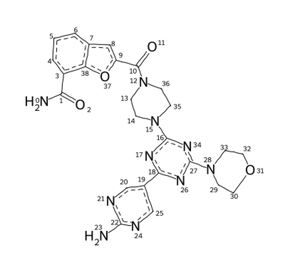 NC(=O)c1cccc2cc(C(=O)N3CCN(c4nc(-c5cnc(N)nc5)nc(N5CCOCC5)n4)CC3)oc12